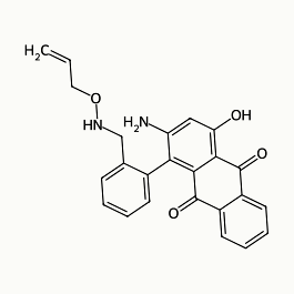 C=CCONCc1ccccc1-c1c(N)cc(O)c2c1C(=O)c1ccccc1C2=O